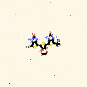 CCC(C)c1sc(-c2sc(-c3sc(C(C)(CC)CC)c4[nH]c(=O)[nH]c34)c3c2OCCO3)c2[nH]c(=O)[nH]c12